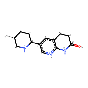 C[C@@H]1CC[C@@H](c2cnc3c(c2)CCC(=O)N3)NC1